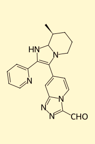 C[C@H]1CCCN2C(c3ccn4c(C=O)nnc4c3)=C(c3ccccn3)NC12